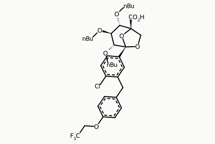 CCCCO[C@@H]1[C@@H](OCCCC)[C@@]2(c3ccc(Cl)c(Cc4ccc(OCC(F)(F)F)cc4)c3)OC[C@](C(=O)O)(O2)[C@H]1OCCCC